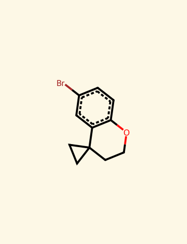 Brc1ccc2c(c1)C1(CCO2)CC1